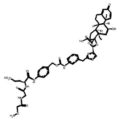 C[C@]12C=CC(=O)C=C1CC[C@@H]1[C@@H]2[C@@H](O)C[C@@]2(C)[C@H]1C[C@H]1O[C@H](c3cnc(Cc4cccc(NC(=O)OCc5ccc(NC(=O)[C@H](CCC(=O)O)NC(=O)CNC(=O)CON)cc5)c4)s3)O[C@]12C(=O)CO